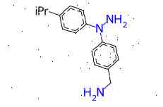 CC(C)c1ccc(N(N)c2ccc(CN)cc2)cc1